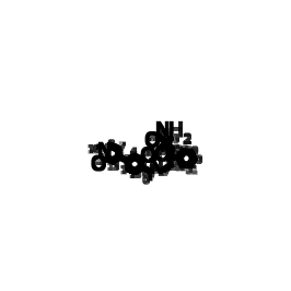 C[C@@H](c1ccc(-c2ccn(C)c(=O)c2)cc1)N1CCC(CC(C)(C)C(N)=O)(c2ccccc2)OC1=O